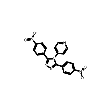 O=[N+]([O-])c1ccc(-c2nnc(-c3ccc([N+](=O)[O-])cc3)n2-c2ccncc2)cc1